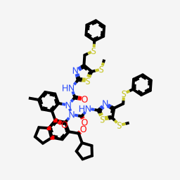 CSc1sc(NC(=O)N(c2ccccc2C(=O)C2CCCC2)N(C(=O)Nc2nc(CSc3ccccc3)c(SC)s2)c2ccc(C)cc2C(=O)C2CCCC2)nc1CSc1ccccc1